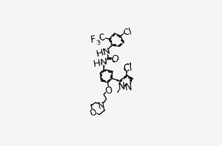 Cn1ncc(Cl)c1-c1cc(NC(=O)Nc2ccc(Cl)cc2C(F)(F)F)ccc1OCCN1CCOCC1